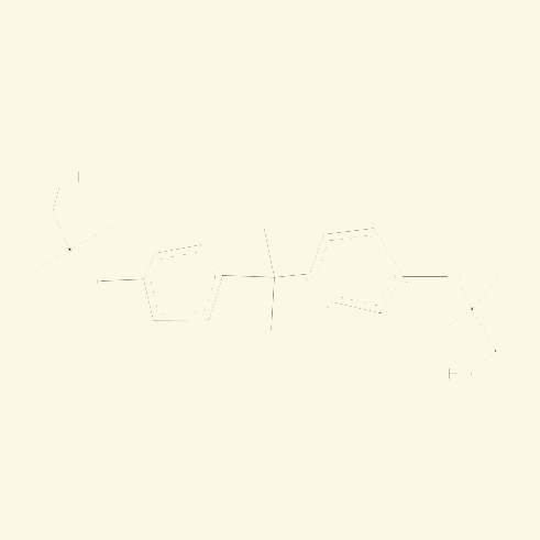 CC(C)(CO)Oc1ccc(C(C)(C)c2ccc(OC(C)(C)CO)cc2)cc1